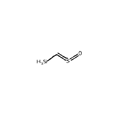 O=S=C[SiH3]